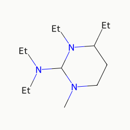 CCC1CCN(C)C(N(CC)CC)N1CC